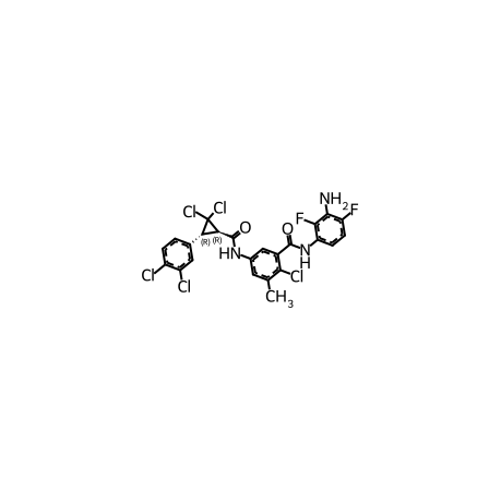 Cc1cc(NC(=O)[C@H]2[C@H](c3ccc(Cl)c(Cl)c3)C2(Cl)Cl)cc(C(=O)Nc2ccc(F)c(N)c2F)c1Cl